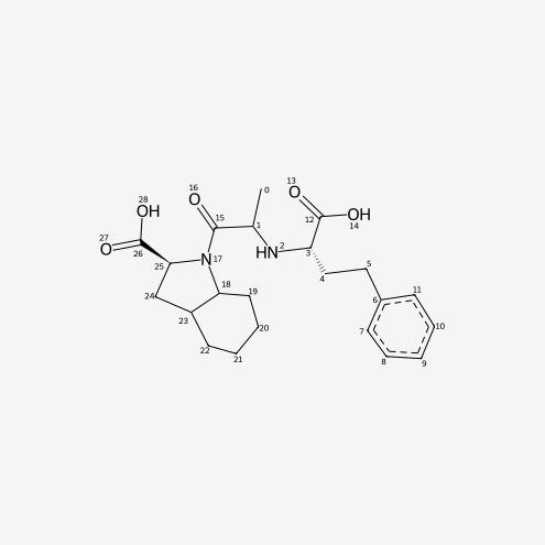 CC(N[C@@H](CCc1ccccc1)C(=O)O)C(=O)N1C2CCCCC2C[C@H]1C(=O)O